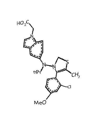 CCCN(c1ccc2c(ccn2CC(=O)O)c1)N1CSC(C)=C1c1ccc(OC)cc1Cl